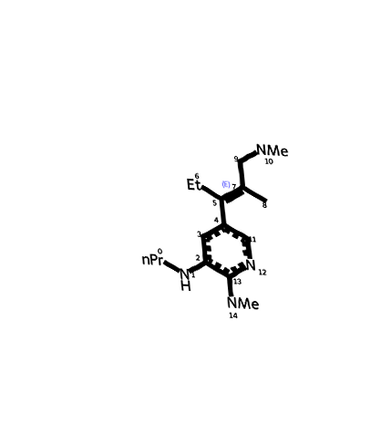 CCCNc1cc(/C(CC)=C(\C)CNC)cnc1NC